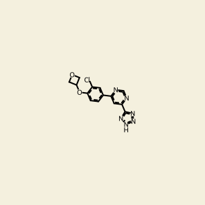 Clc1cc(-c2cc(-c3nn[nH]n3)ncn2)ccc1OC1COC1